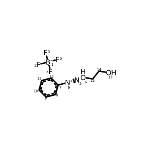 F[B-](F)(F)F.N#[N+]c1ccccc1.OCCO